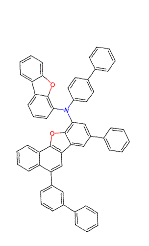 c1ccc(-c2ccc(N(c3cccc4c3oc3ccccc34)c3cc(-c4ccccc4)cc4c3oc3c5ccccc5c(-c5cccc(-c6ccccc6)c5)cc43)cc2)cc1